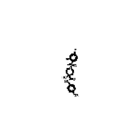 Cc1cc(F)ccc1S(=O)(=O)N1CCC(O)(C(=O)Nc2ccc(C(C)(C)C)cc2)CC1